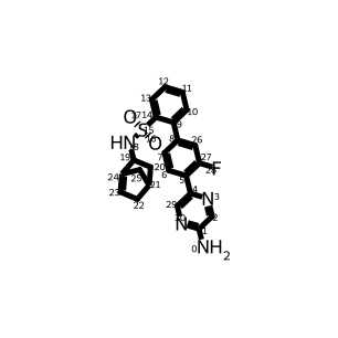 Nc1cnc(-c2ccc(-c3ccccc3S(=O)(=O)NC3CC4CC=C3C4)cc2F)cn1